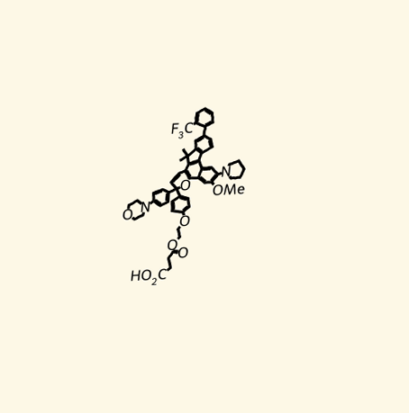 COc1cc2c3c(c4c(c2cc1N1CCCCC1)-c1ccc(-c2ccccc2C(F)(F)F)cc1C4(C)C)C=CC(c1ccc(OCCOC(=O)CCC(=O)O)cc1)(c1ccc(N2CCOCC2)cc1)O3